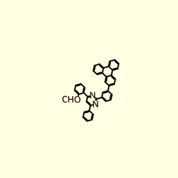 O=Cc1ccccc1-c1cc(-c2ccccc2)nc(-c2cccc(-c3ccc4c5ccccc5c5ccccc5c4c3)c2)n1